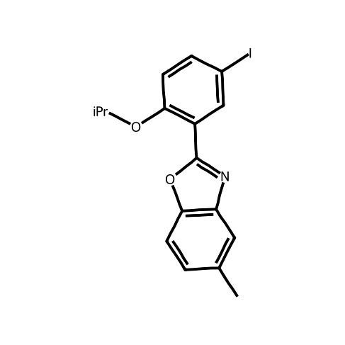 Cc1ccc2oc(-c3cc(I)ccc3OC(C)C)nc2c1